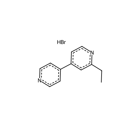 Br.CCc1cc(-c2ccncc2)ccn1